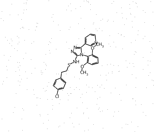 COc1cccc(OC)c1-n1c(NSCCc2ccc(Cl)cc2)nnc1-c1cccnc1